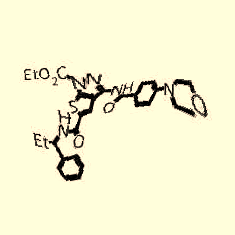 CCOC(=O)n1nc(NC(=O)c2ccc(N3CCOCC3)cc2)c2cc(C(=O)N[C@H](CC)c3ccccc3)sc21